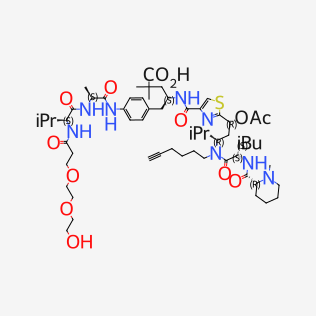 C#CCCCCN(C(=O)[C@@H](NC(=O)[C@H]1CCCCN1C)[C@@H](C)CC)[C@H](C[C@@H](OC(C)=O)c1nc(C(=O)N[C@@H](Cc2ccc(NC(=O)[C@H](C)NC(=O)[C@@H](NC(=O)CCOCCOCCO)C(C)C)cc2)CC(C)(C)C(=O)O)cs1)C(C)C